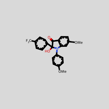 COc1ccc(N2c3cc(OC)ccc3C(=O)C2(O)c2ccc(C(F)(F)F)cc2)cc1